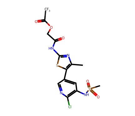 Cc1nc(NC(=O)COC(=O)C(F)(F)F)sc1-c1cnc(Cl)c(NS(C)(=O)=O)c1